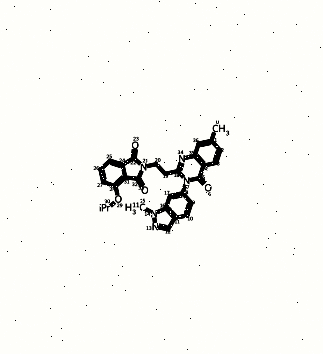 Cc1ccc2c(=O)n(-c3ccc4cnn([11CH3])c4c3)c(CCN3C(=O)c4cccc(OC(C)C)c4C3=O)nc2c1